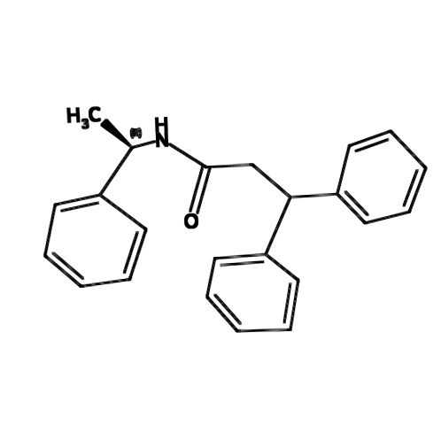 C[C@@H](NC(=O)CC(c1ccccc1)c1ccccc1)c1ccccc1